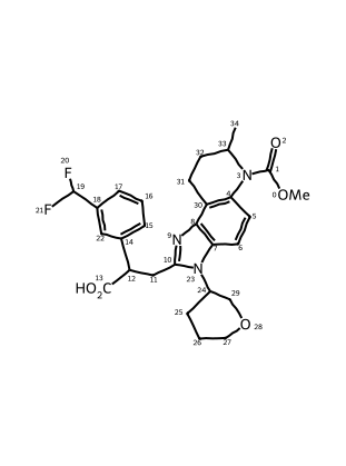 COC(=O)N1c2ccc3c(nc(CC(C(=O)O)c4cccc(C(F)F)c4)n3C3CCCOC3)c2CCC1C